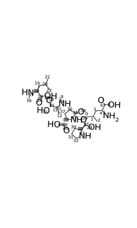 CC(C)CC(N)C(=O)O.CN[C@@H](C)C(=O)O.CN[C@@H](CC(C)C)C(=O)O.O=C(O)[C@@H]1CCCN1.O=C1CC[C@@H](C(=O)O)N1